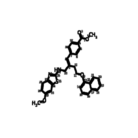 COC(=O)c1ccc(/C=C(\CCOc2cccc3ccccc23)CNc2nc3ccc(OC)cc3s2)cc1